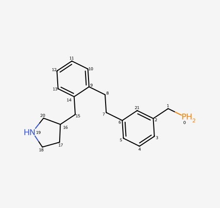 PCc1cccc(CCc2ccccc2CC2CCNC2)c1